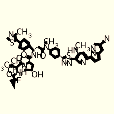 CNc1cc(-c2ccc3cc(C#N)cnn23)ncc1-c1nnc([C@H]2CC[C@H](N(C)C(=O)C[C@H](NC(=O)[C@@H]3C[C@@H](O)CN3C(=O)[C@@H](NC(=O)C3(F)CC3)C(C)(C)C)c3ccc(-c4scnc4C)cc3)CC2)s1